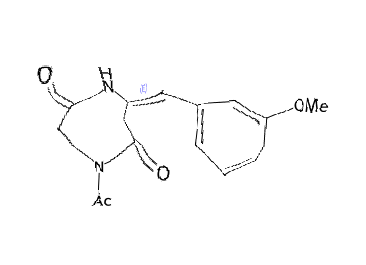 COc1cccc(/C=C2/NC(=O)CN(C(C)=O)C2=O)c1